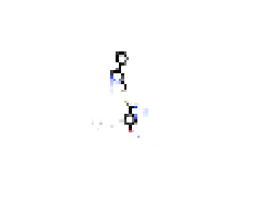 COc1cc2c(CSCCC3CC(c4ccccc4)=CCN3)c[nH]c2cc1C(N)=O